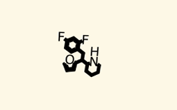 Fc1ccc(CC(c2ccco2)C2CCCCN2)c(F)c1